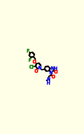 CNCC(=O)n1c(=O)[nH]c2ccc(Cn3ccc(OCc4ccc(F)cc4F)c(Cl)c3=O)cc21